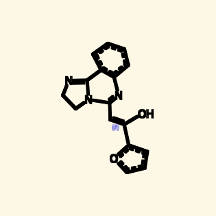 O/C(=C\C1=Nc2ccccc2C2=NCCN12)c1ccco1